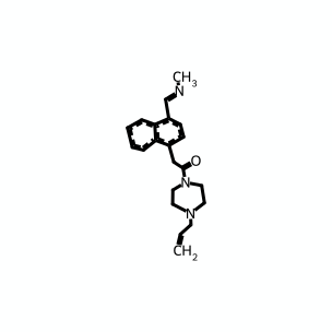 C=CCN1CCN(C(=O)Cc2ccc(/C=N/C)c3ccccc23)CC1